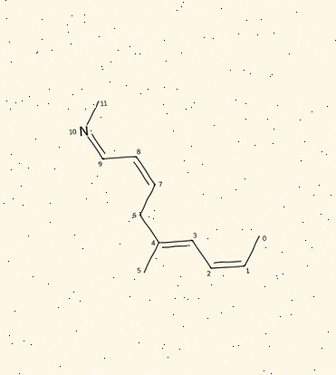 C/C=C\C=C(/C)C/C=C\C=N/C